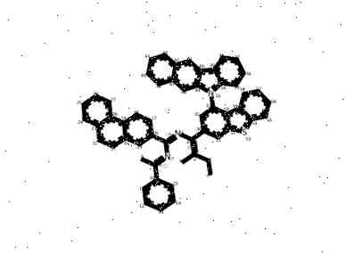 CC/C(C)=C(/N=C(\N=C(/C)c1ccccc1)c1ccc2c(ccc3ccccc32)c1)c1cc(-n2c3ccccc3c3cc4ccccc4cc32)c2c(c1)sc1ccccc12